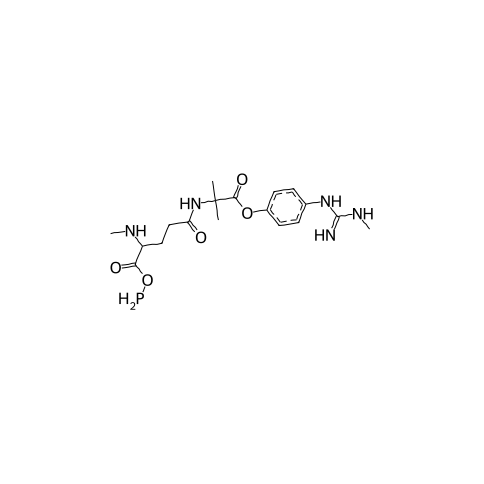 CNC(=N)Nc1ccc(OC(=O)C(C)(C)NC(=O)CCC(NC)C(=O)OP)cc1